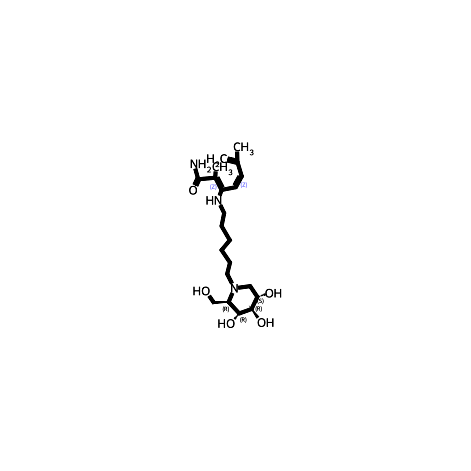 C=C(C)/C=C\C(NCCCCCCN1C[C@H](O)[C@@H](O)[C@H](O)[C@H]1CO)=C(/C)C(N)=O